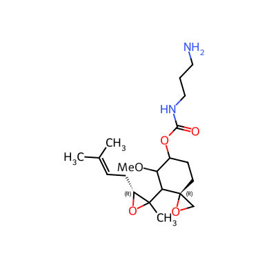 COC1C(OC(=O)NCCCN)CC[C@]2(CO2)C1C1(C)O[C@@H]1CC=C(C)C